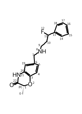 C[C@H]1Oc2ccc(CNCCC(F)c3ccccc3)cc2NC1=O